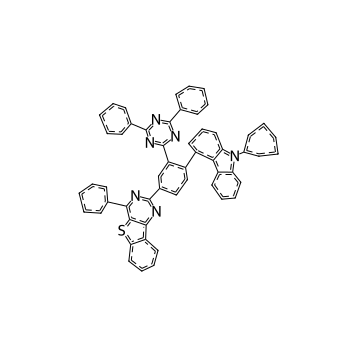 c1ccc(-c2nc(-c3ccccc3)nc(-c3cc(-c4nc(-c5ccccc5)c5sc6ccccc6c5n4)ccc3-c3cccc4c3c3ccccc3n4-c3ccccc3)n2)cc1